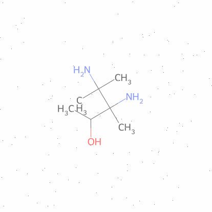 CC(O)C(C)(N)C(C)(C)N